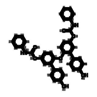 O=C(Nc1ccccc1)Oc1ccc(Oc2ccc(OC(=O)Nc3ccccc3)cc2-c2ccc(O)cc2)c(-c2ccc(O)cc2)c1